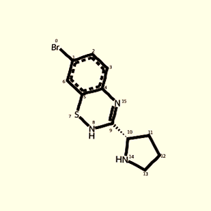 Brc1ccc2c(c1)SNC([C@@H]1CCCN1)=N2